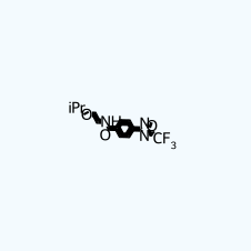 CC(C)OCCNC(=O)c1ccc(-c2noc(C(F)(F)F)n2)cc1